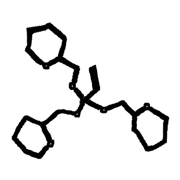 C=C[Si](OCC1CCCCO1)(OCC1CCCCO1)OCC1CCCCO1